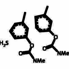 CNC(=O)Oc1cccc(C)c1.CNC(=O)Oc1cccc(C)c1.S